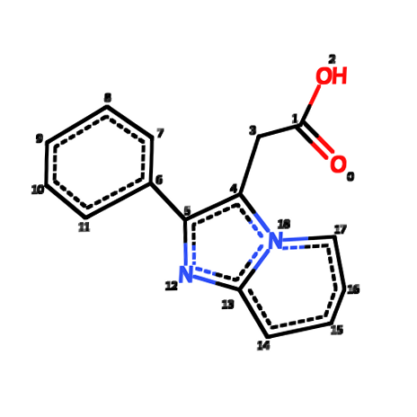 O=C(O)Cc1c(-c2ccccc2)nc2ccccn12